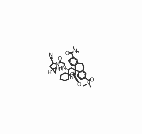 CN(C)C(=O)c1ccc2c(c1)CCc1cc(C(=O)N(C)C)ccc1C21C[C@H](NCC(=O)N2C(C#N)C[C@@H]3C[C@@H]32)C2(CCCCC2)n2oc(=O)nc21